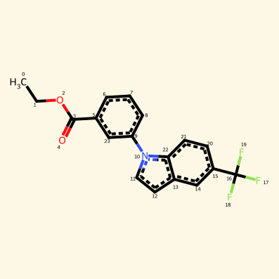 CCOC(=O)c1cccc(-n2ccc3cc(C(F)(F)F)ccc32)c1